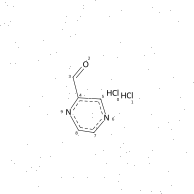 Cl.Cl.O=Cc1cnccn1